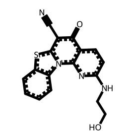 N#Cc1c(=O)c2ccc(NCCO)nc2n2c1sc1ccccc12